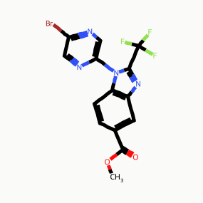 COC(=O)c1ccc2c(c1)nc(C(F)(F)F)n2-c1cnc(Br)cn1